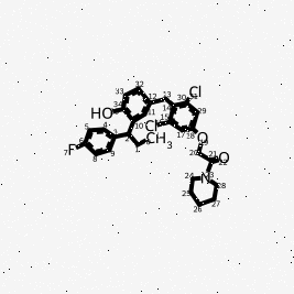 CCC(c1ccc(F)cc1)c1cc(Cc2c(Cl)cc(OCC(=O)N3CCCCC3)cc2Cl)ccc1O